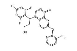 O=c1ncn(C(CCO)c2c(F)cc(F)cc2F)c2ccc(Oc3ncccc3C(F)(F)F)cc12